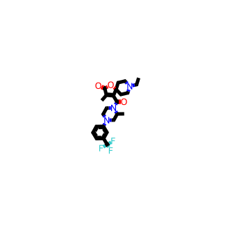 CCN1CCC2(CC1)OC(=O)C(C)=C2C(=O)N1CCN(c2cccc(C(F)(F)F)c2)CC1C